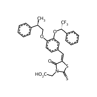 C[C@@H](COc1ccc(C=C2SC(=S)N(CC(=O)O)C2=O)cc1O[C@@H](c1ccccc1)C(F)(F)F)c1ccccc1